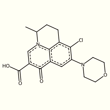 CC1CCc2c(Cl)c(N3CCOCC3)cc3c(=O)c(C(=O)O)cn1c23